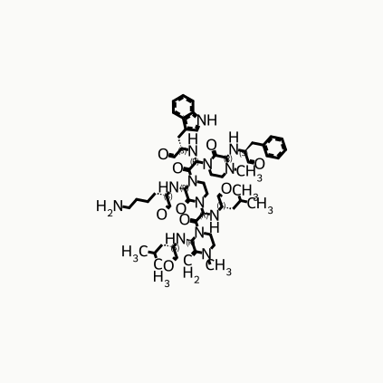 C=C1[C@H](N[C@H](C=O)CC(C)C)N(C(=O)[C@H](N[C@H](C=O)CC(C)C)N2CCN(C(=O)[C@H](N[C@H](C=O)Cc3c[nH]c4ccccc34)N3CCN(C)[C@@H](N[C@H](C=O)Cc4ccccc4)C3=O)[C@@H](N[C@H](C=O)CCCCN)C2=O)CCN1C